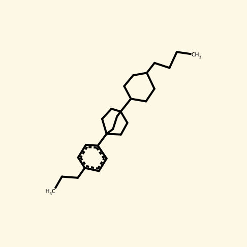 CCCCC1CCC(C23CCC(c4ccc(CCC)cc4)(CC2)CC3)CC1